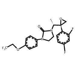 C[C@@H](N1CCN(c2ccc(OCC(F)(F)F)cc2)C1=O)[C@@]1(c2ccc(F)cc2F)CO1